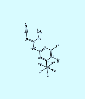 CS/C(=N\C#N)Nc1cc(F)c(Br)c(S(F)(F)(F)(F)F)c1